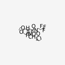 CN1C[C@H](C(=O)N(CCC(F)(F)F)C(=O)Oc2ccccc2)C[C@@H]2CC3(CC[C@H]21)OCCO3